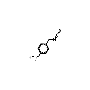 O=C(O)c1ccc(CN=C=S)cc1